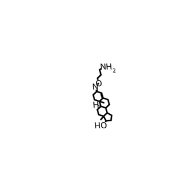 CC12CC[C@@H]3C(CCC4=CC(=NOCCCN)CCC43C)C1CCC2O